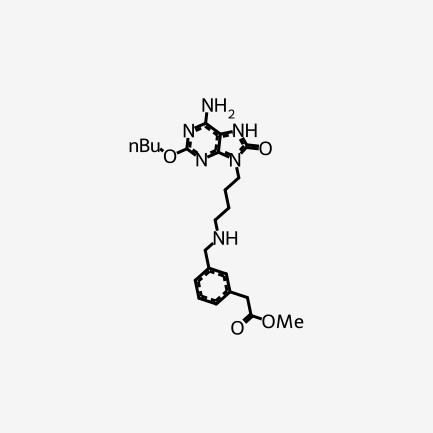 CCCCOc1nc(N)c2[nH]c(=O)n(CCCCNCc3cccc(CC(=O)OC)c3)c2n1